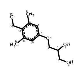 Cc1cc(OCC(O)CO)cc(C)c1C[O]